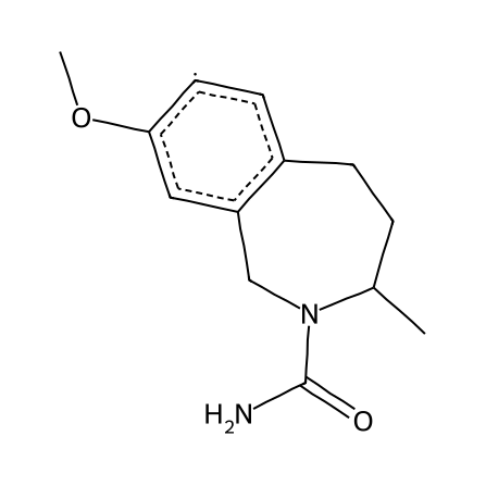 COc1[c]cc2c(c1)CN(C(N)=O)C(C)CC2